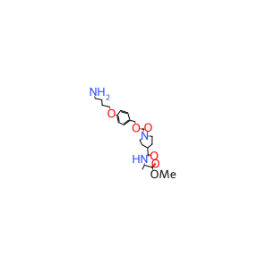 COC(=O)C(C)NC(=O)C1CCN(C(=O)OCc2ccc(OCCCCN)cc2)CC1